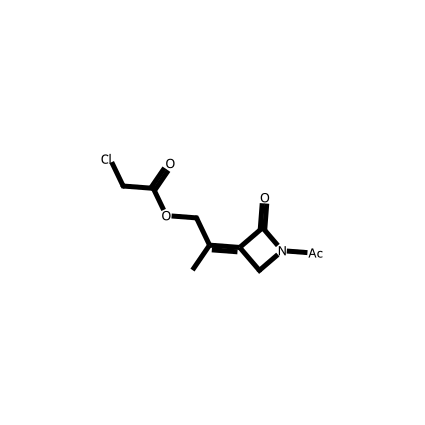 CC(=O)N1C/C(=C(\C)COC(=O)CCl)C1=O